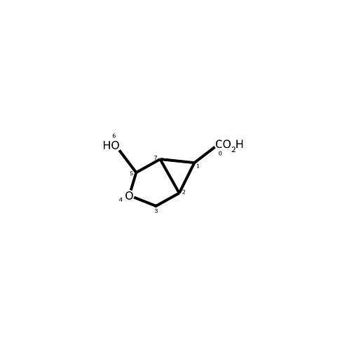 O=C(O)C1C2COC(O)C21